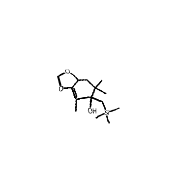 CC1=C2OCOC2CC(C)(C)C1(O)C[Si](C)(C)C